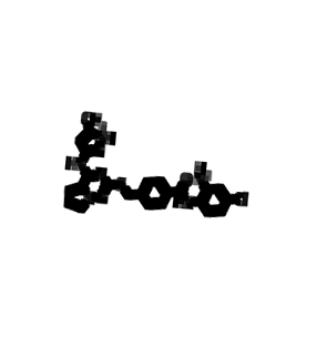 Cc1cc(Nc2nc(SCc3ccc(C(=O)Nc4ccc(Cl)cc4N)cc3)nn3cccc23)n[nH]1